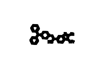 CCCn1c(CC)nc2cc(C(O)CN3CCN(C(c4ccccc4)c4ccccc4)CC3)ccc21